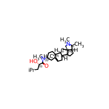 CC(C)C[C@H](O)C(=O)N(C)[C@H]1CC[C@@]2(C)C(=CC[C@H]3[C@@H]4CC[C@@H]5[C@H](C)N(C)C[C@@]54CC[C@@H]32)C1